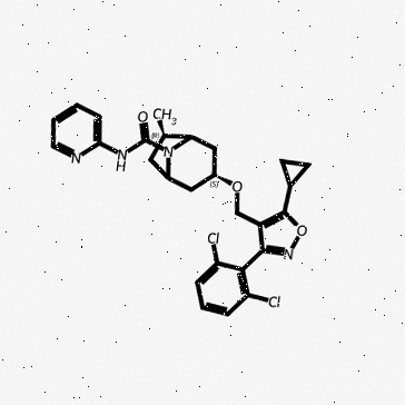 C[C@@H]1CC2C[C@H](OCc3c(-c4c(Cl)cccc4Cl)noc3C3CC3)CC1N2C(=O)Nc1ccccn1